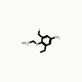 Cc1cc(CI)c(OCC(=O)O)c(CI)c1